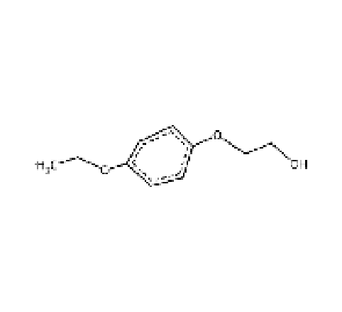 [CH2]COc1ccc(OCCO)cc1